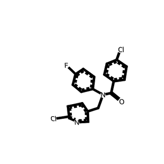 O=C(c1ccc(Cl)cc1)N(Cc1ccc(Cl)nc1)c1ccc(F)cc1